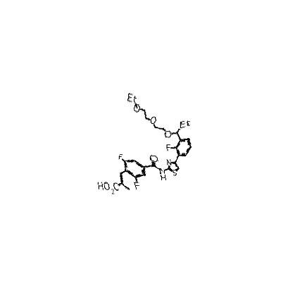 CCOCCOCCOC(CC)c1cccc(-c2csc(NC(=O)c3cc(F)c(C=C(C)C(=O)O)c(F)c3)n2)c1F